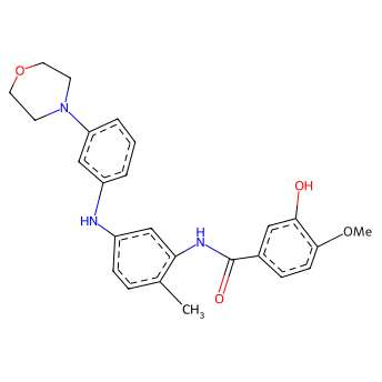 COc1ccc(C(=O)Nc2cc(Nc3cccc(N4CCOCC4)c3)ccc2C)cc1O